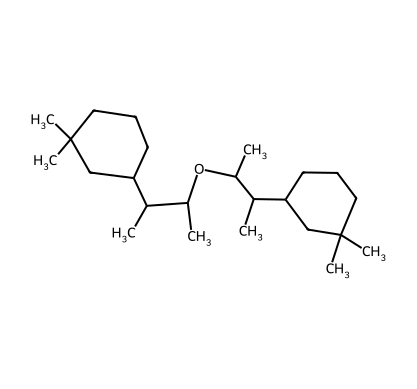 CC(OC(C)C(C)C1CCCC(C)(C)C1)C(C)C1CCCC(C)(C)C1